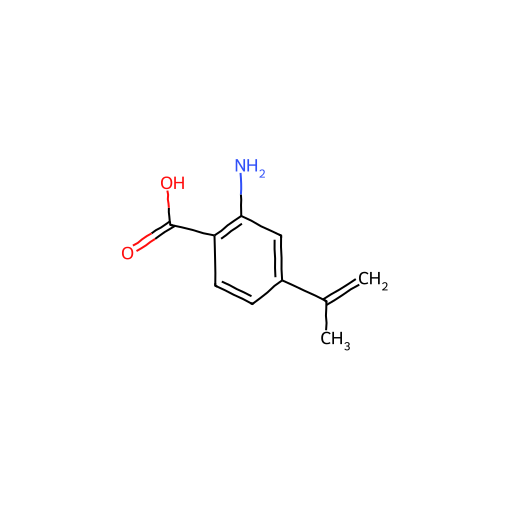 C=C(C)c1ccc(C(=O)O)c(N)c1